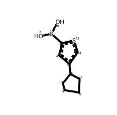 OB(O)c1cc(C2CCCC2)cs1